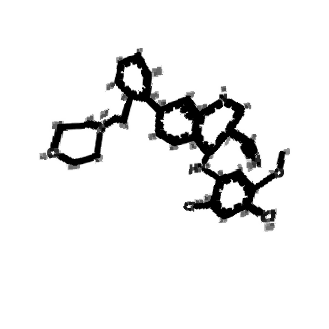 COc1cc(Nc2c(C#N)cnc3cc(-c4ccccc4CN4CCOCC4)ccc23)c(Cl)cc1Cl